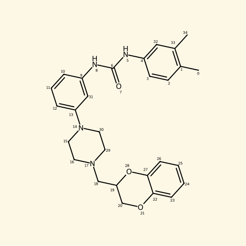 Cc1ccc(NC(=O)Nc2cccc(N3CCN(CC4COc5ccccc5O4)CC3)c2)cc1C